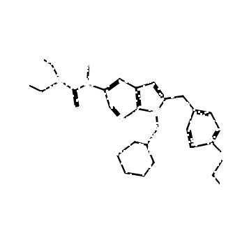 CCOc1ccc(Cc2cc3cc(N(C)C(=O)N(CC)CC)cnc3n2CC2CCCCC2)cc1